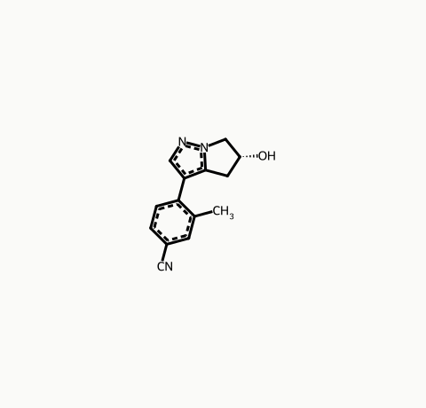 Cc1cc(C#N)ccc1-c1cnn2c1C[C@@H](O)C2